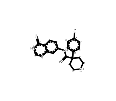 O=C(Nc1ccc2c(=O)[nH]cnc2c1)C1(c2ccc(Cl)cc2)CCNCC1